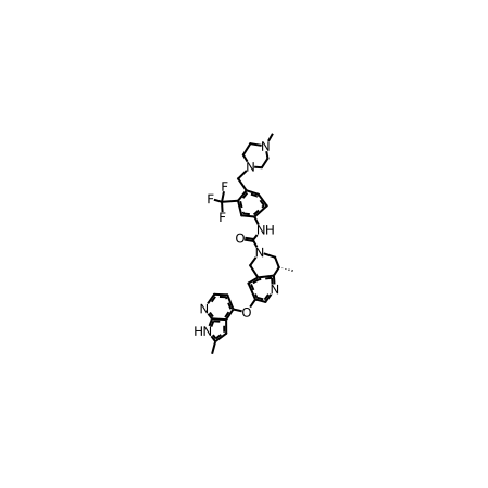 Cc1cc2c(Oc3cnc4c(c3)CN(C(=O)Nc3ccc(CN5CCN(C)CC5)c(C(F)(F)F)c3)C[C@@H]4C)ccnc2[nH]1